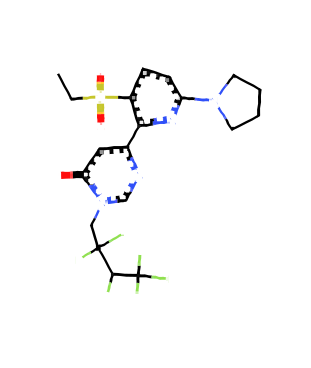 CCS(=O)(=O)c1ccc(N2CCCC2)nc1-c1cc(=O)n(CC(F)(F)C(F)C(F)(F)F)cn1